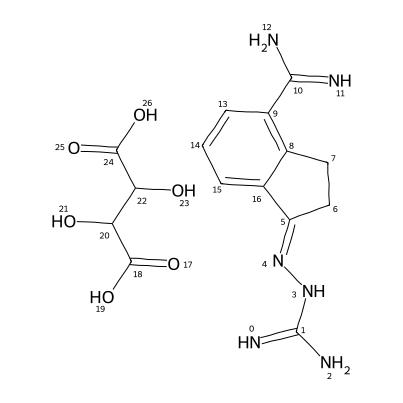 N=C(N)NN=C1CCc2c(C(=N)N)cccc21.O=C(O)C(O)C(O)C(=O)O